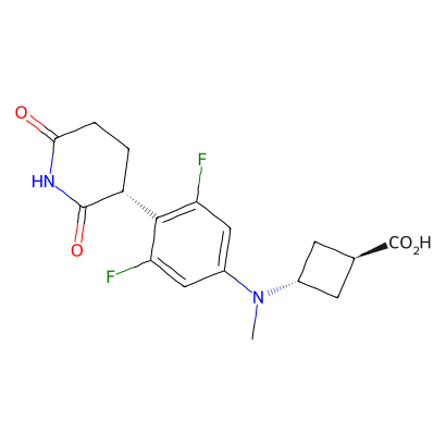 CN(c1cc(F)c([C@H]2CCC(=O)NC2=O)c(F)c1)[C@H]1C[C@H](C(=O)O)C1